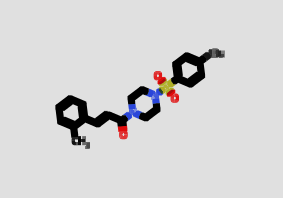 Cc1ccccc1/C=C/C(=O)N1CCN(S(=O)(=O)c2ccc(C(C)(C)C)cc2)CC1